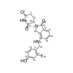 O=C1CC[C@H](N2Cc3c(NCc4ccc(O)cc4F)cccc3C2=O)C(=O)N1